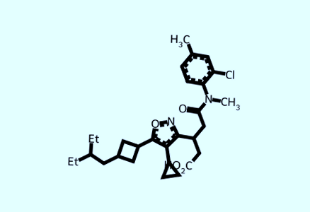 CCC(CC)CC1CC(c2onc(C(CC(=O)O)CC(=O)N(C)c3ccc(C)cc3Cl)c2C2CC2)C1